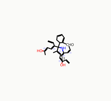 C=C/C(O)=C\C=C(/C)C(NC(/C=C\C)=C/CC)(/C(C=C)=C/C=C(\C)O)C1CC=CC=C1C=O